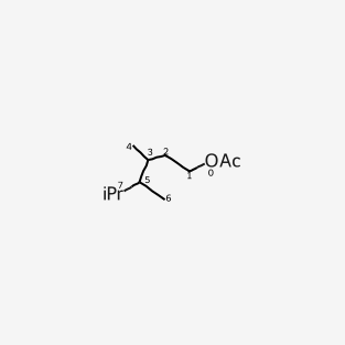 CC(=O)OCCC(C)C(C)C(C)C